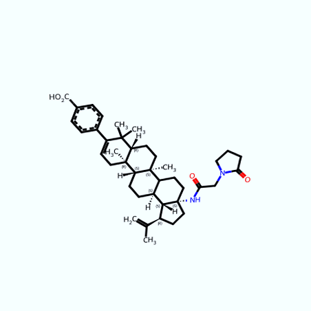 C=C(C)[C@@H]1CC[C@]2(NC(=O)CN3CCCC3=O)CCC3[C@H](CC[C@@H]4[C@@]5(C)CC=C(c6ccc(C(=O)O)cc6)C(C)(C)[C@@H]5CC[C@@]34C)[C@@H]12